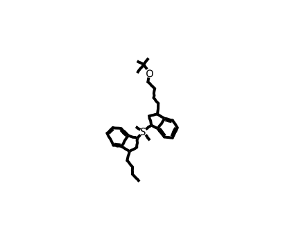 CCCCC1CC(S(C)(C)C2CC(CCCCOC(C)(C)C)c3ccccc32)c2ccccc21